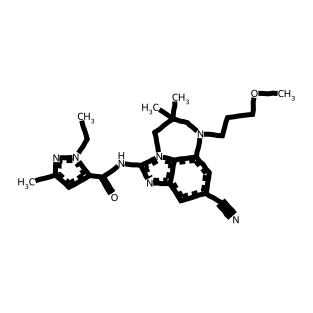 CCn1nc(C)cc1C(=O)Nc1nc2cc(C#N)cc3c2n1CC(C)(C)CN3CCCOC